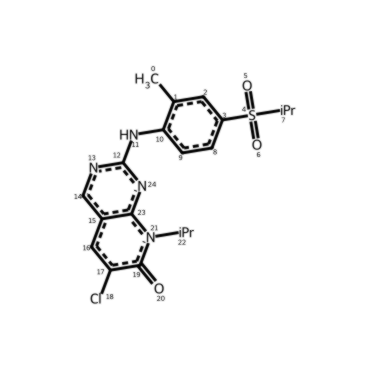 Cc1cc(S(=O)(=O)C(C)C)ccc1Nc1ncc2cc(Cl)c(=O)n(C(C)C)c2n1